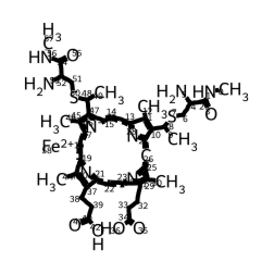 CNC(=O)C(N)CSC(C)C1=C(C)c2cc3[n-]c(cc4nc(cc5[n-]c(cc1n2)c(C)c5CCC(=O)O)C(CCC(=O)O)=C4C)c(C)c3C(C)SCC(N)C(=O)NC.[Fe+2]